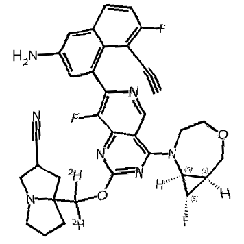 [2H]C([2H])(Oc1nc(N2CCOC[C@H]3[C@H](F)[C@H]32)c2cnc(-c3cc(N)cc4ccc(F)c(C#C)c34)c(F)c2n1)C12CCCN1CC(C#N)C2